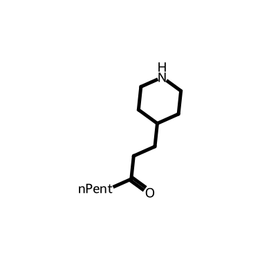 CCCCCC(=O)CCC1CCNCC1